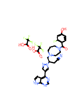 N#CCC(CN1CCCN(C(=O)c2ccc(O)cc2F)CC1)n1cc(-c2ncnc3[nH]ccc23)cn1.O=C(O)C(F)(F)F.O=C(O)C(F)(F)F